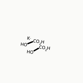 O=C(O)O.O=C(O)O.[K]